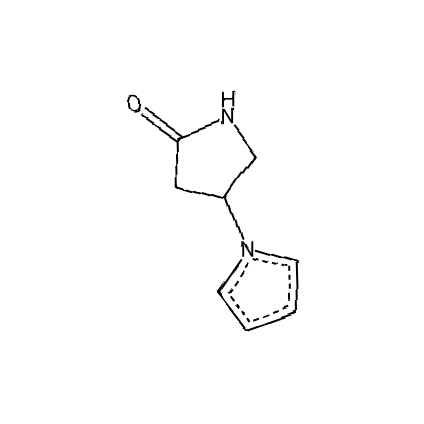 O=C1CC(n2cccc2)CN1